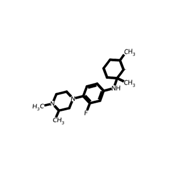 CC1[CH]C(C)(Nc2ccc(N3CCN(C)C(C)C3)c(F)c2)CCC1